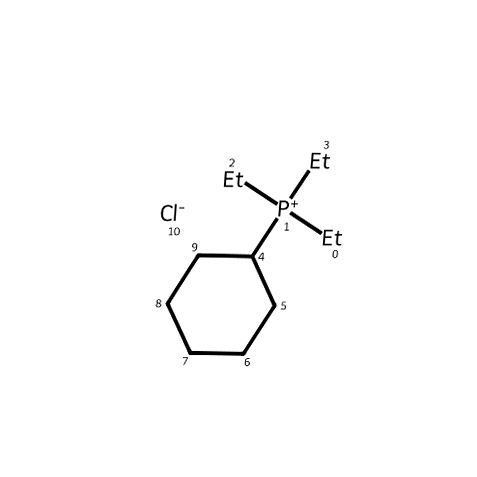 CC[P+](CC)(CC)C1CCCCC1.[Cl-]